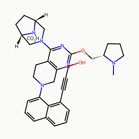 CN1CCC[C@H]1COc1nc2c(c(N3C[C@H]4CC[C@@H](C3)N4C(=O)O)n1)CCN(c1cccc3cccc(C#CCO)c13)C2